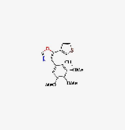 COc1cc(-c2ncoc2-c2ccsc2C)cc(OC)c1OC